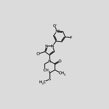 CCN(C(=O)C(C)CSC)c1cn(-c2cc(F)c[n+]([O-])c2)nc1Cl